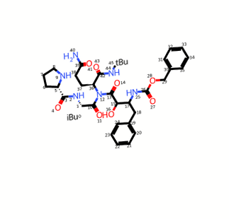 CC[C@H](C)[C@H](NC(=O)[C@@H]1CCCN1)C(=O)N(C(=O)C(O)C(Cc1ccccc1)NC(=O)OCc1ccccc1)[C@@H](CCC(N)=O)C(=O)NC(C)(C)C